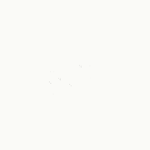 Fc1cc(-c2cn3c(C(F)(F)F)nc(Br)c3cn2)cnc1OCC(F)(F)F